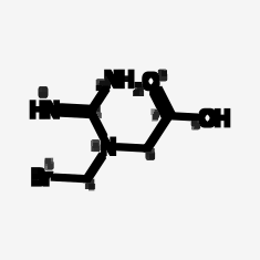 N=C(N)N(CBr)CC(=O)O